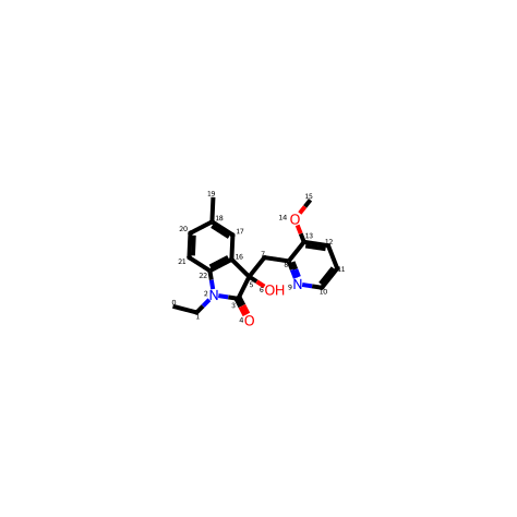 CCN1C(=O)C(O)(Cc2ncccc2OC)c2cc(C)ccc21